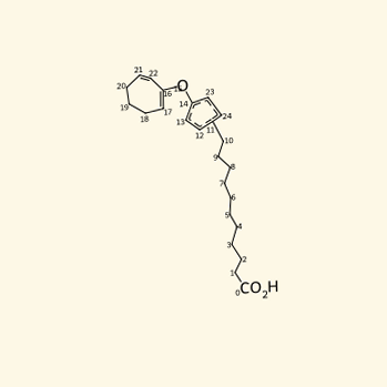 O=C(O)CCCCCCCCCCc1ccc(OC2=CCCCC=C2)cc1